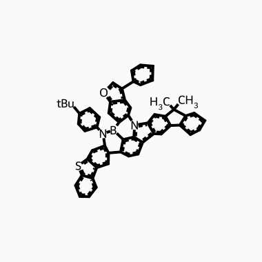 CC(C)(C)c1ccc(N2B3c4cc5occ(-c6ccccc6)c5cc4-n4c5cc6c(cc5c5ccc(c3c54)-c3cc4c(cc32)sc2ccccc24)-c2ccccc2C6(C)C)cc1